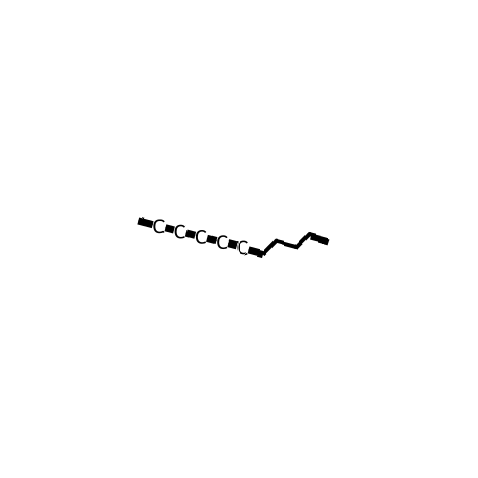 C=C=C=C=C=C=CCCC=C